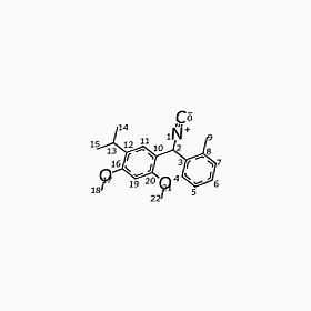 [C-]#[N+]C(c1ccccc1C)c1cc(C(C)C)c(OC)cc1OC